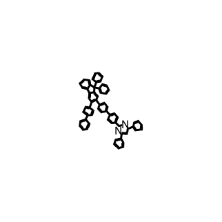 c1ccc(-c2ccc(-c3cc4c(cc3-c3ccc(-c5ccc(-c6nc(-c7ccccc7)cc(-c7ccccc7)n6)cc5)cc3)C(c3ccccc3)(c3ccccc3)c3ccccc3-4)cc2)cc1